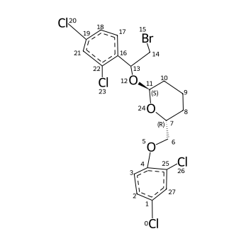 Clc1ccc(OC[C@H]2CCC[C@H](OC(CBr)c3ccc(Cl)cc3Cl)O2)c(Cl)c1